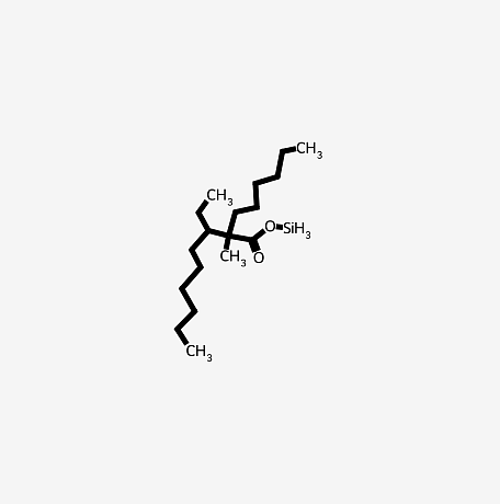 CCCCCCC(CC)C(C)(CCCCCC)C(=O)O[SiH3]